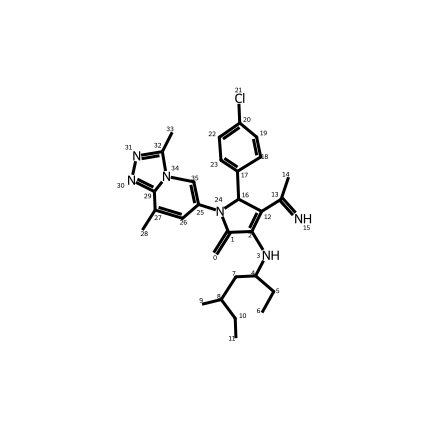 C=C1C(NC(CC)CC(C)CC)=C(C(C)=N)C(c2ccc(Cl)cc2)N1c1cc(C)c2nnc(C)n2c1